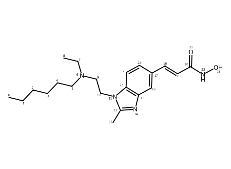 CCCCCCN(CC)CCn1c(C)nc2cc(C=CC(=O)NO)ccc21